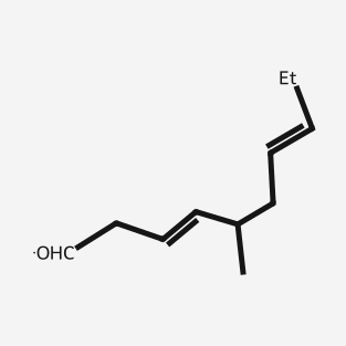 CCC=CCC(C)C=CC[C]=O